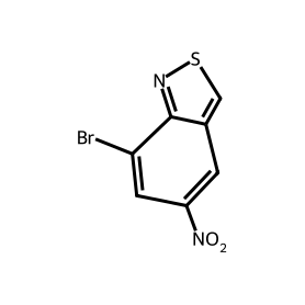 O=[N+]([O-])c1cc(Br)c2nscc2c1